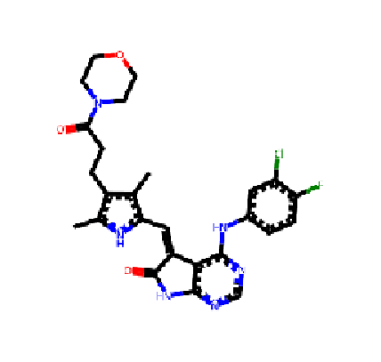 Cc1[nH]c(C=C2C(=O)Nc3ncnc(Nc4ccc(F)c(Cl)c4)c32)c(C)c1CCC(=O)N1CCOCC1